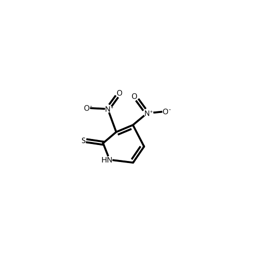 O=[N+]([O-])c1cc[nH]c(=S)c1[N+](=O)[O-]